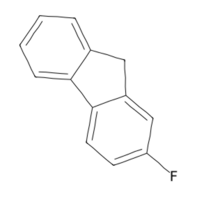 Fc1ccc2c(c1)Cc1ccccc1-2